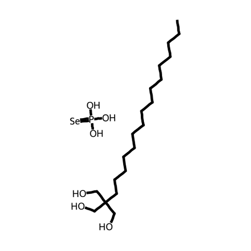 CCCCCCCCCCCCCCCCC(CO)(CO)CO.OP(O)(O)=[Se]